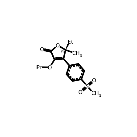 CC[C@]1(C)OC(=O)C(OC(C)C)=C1c1ccc(S(C)(=O)=O)cc1